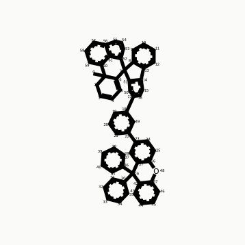 CC12CC=CC=C1C1(c3ccccc3-c3ccc(-c4cccc(-c5ccc6c(c5)C(c5ccccc5)(c5ccccc5)c5ccccc5O6)c4)cc31)c1cccc3cccc2c13